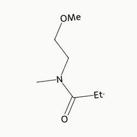 C[CH]C(=O)N(C)CCOC